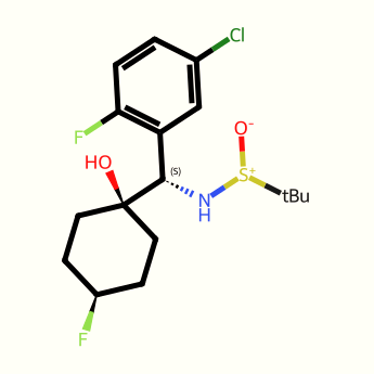 CC(C)(C)[S+]([O-])N[C@@H](c1cc(Cl)ccc1F)[C@]1(O)CC[C@@H](F)CC1